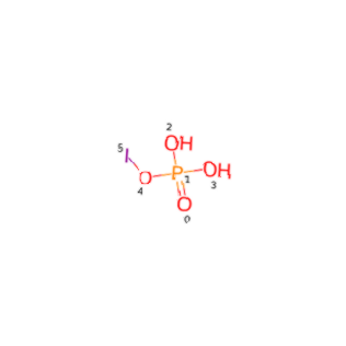 O=P(O)(O)OI